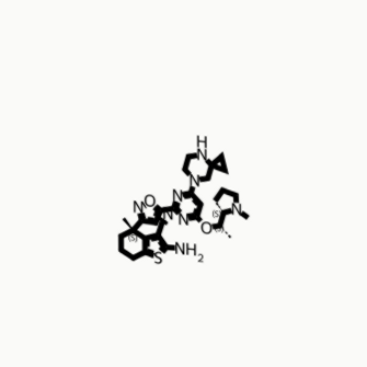 C[C@H](Oc1cc(N2CCNC3(CC3)C2)nc(-c2cc([C@@]3(C)CCCc4sc(N)c(C#N)c43)no2)n1)[C@@H]1CCCN1C